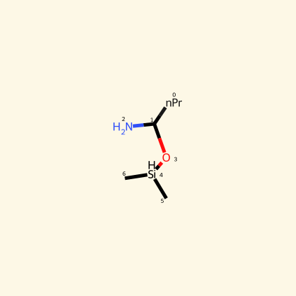 CCCC(N)O[SiH](C)C